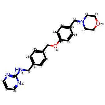 c1cnc(NCc2ccc(COc3ccc(CN4CCOCC4)cc3)cc2)nc1